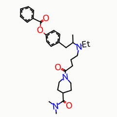 CCN(CCCC(=O)N1CCC(C(=O)N(C)C)CC1)C(C)Cc1ccc(OC(=O)c2ccccc2)cc1